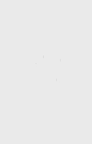 FC(F)C(F)C(F)(F)S